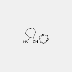 OC1(c2ccccc2)CCCCC1S